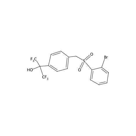 O=S(=O)(Cc1ccc(C(O)(C(F)(F)F)C(F)(F)F)cc1)c1ccccc1Br